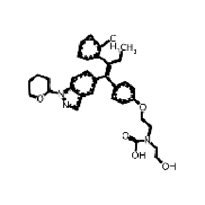 CCC(=C(c1ccc(OCCN(CCO)C(=O)O)cc1)c1ccc2c(cnn2C2CCCCO2)c1)c1ccccc1C